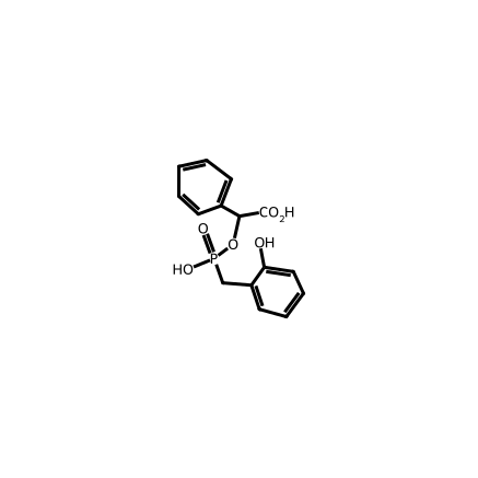 O=C(O)C(OP(=O)(O)Cc1ccccc1O)c1ccccc1